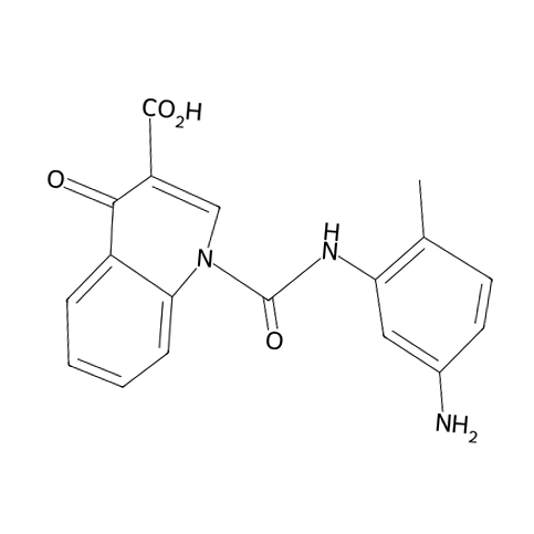 Cc1ccc(N)cc1NC(=O)n1cc(C(=O)O)c(=O)c2ccccc21